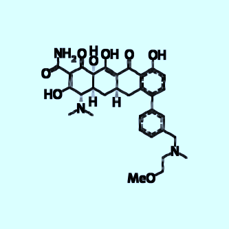 COCCN(C)Cc1cccc(-c2ccc(O)c3c2C[C@H]2C[C@H]4[C@H](N(C)C)C(O)=C(C(N)=O)C(=O)[C@@]4(O)C(O)=C2C3=O)c1